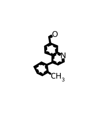 Cc1ccccc1-c1ccnc2cc(C=O)ccc12